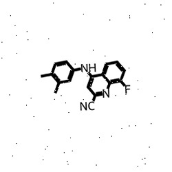 Cc1ccc(Nc2cc(C#N)nc3c(F)cccc23)cc1C